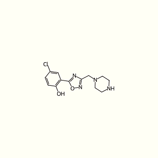 Oc1ccc(Cl)cc1-c1nc(CN2CCNCC2)no1